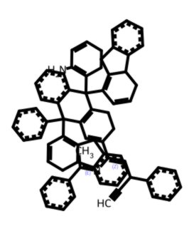 C#CC(/C=C(\N=C(/C)c1ccccc1)C1=CC2=C(CC1)C(C1=C3Cc4ccccc4C3CC=C1)(C1=C(N)C=CCC1)c1ccccc1C2(C1=C2Cc3ccccc3C2CC=C1)c1ccccc1)c1ccccc1